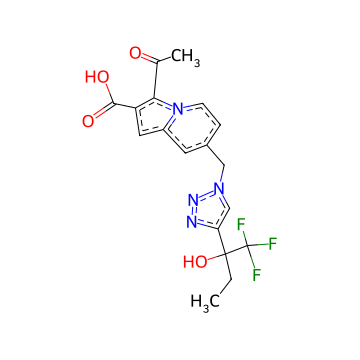 CCC(O)(c1cn(Cc2ccn3c(C(C)=O)c(C(=O)O)cc3c2)nn1)C(F)(F)F